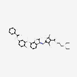 CCN(CC)CCNC(=O)c1c(C)[nH]c(/C=C2\C(=O)Nc3c(Nc4cc(NC(=O)c5ccccc5)ccc4C)cccc32)c1C